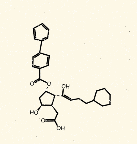 O=C(O)C[C@@H]1[C@@H](C(O)=CCCC2CCCCC2)[C@@H](OC(=O)c2ccc(-c3ccccc3)cc2)C[C@@H]1O